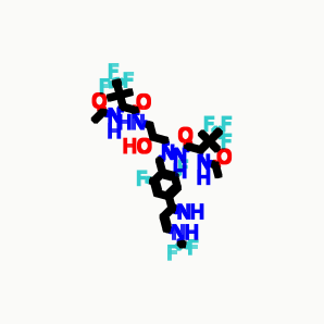 CC(=O)NC(C(=O)NC[C@@H](O)CN(Cc1c(F)cc(C(=N)/C=C\NC(F)F)cc1F)NC(=O)[C@@H](NC(C)=O)C(C)(C)C(F)(F)F)C(C)(C)C(F)(F)F